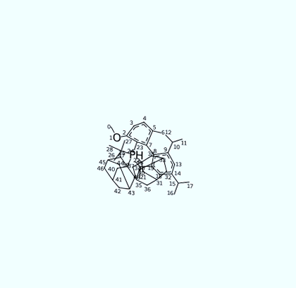 COc1ccc(C)c(-c2c(C(C)C)cc(C(C)C)cc2C(C)C)c1[PH](C(C)(C)C)(C12CC3CC(CC(C3)C1)C2)C12CC3CC(CC(C3)C1)C2